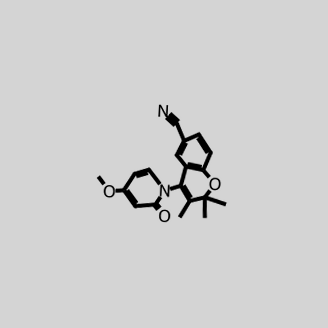 COc1ccn(C2=C(C)C(C)(C)Oc3ccc(C#N)cc32)c(=O)c1